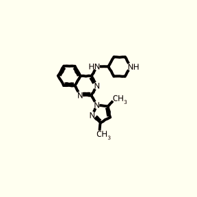 Cc1cc(C)n(-c2nc(NC3CCNCC3)c3ccccc3n2)n1